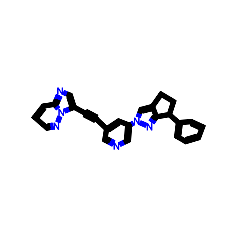 C(#Cc1cnc2cccnn12)c1cncc(-n2cc3c(n2)C(c2ccccc2)CC3)c1